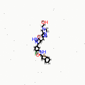 O=C(Nc1cc(-c2cc(Cc3cc4n(n3)CCN(CCO)C4)c(=O)[nH]n2)ccc1F)c1cc2ccccc2s1